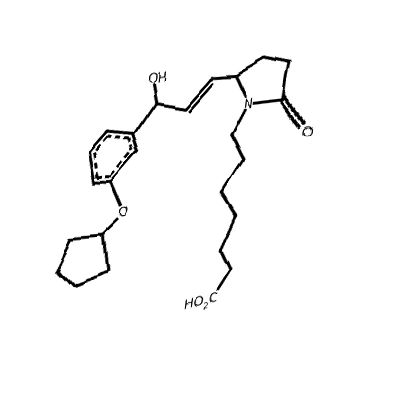 O=C(O)CCCCCCN1C(=O)CCC1C=CC(O)c1cccc(OC2CCCC2)c1